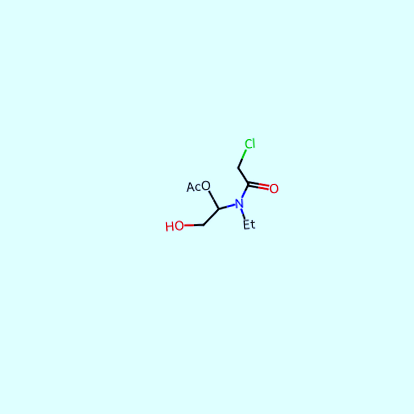 CCN(C(=O)CCl)C(CO)OC(C)=O